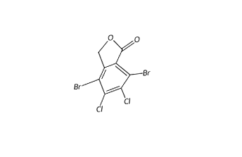 O=C1OCc2c(Br)c(Cl)c(Cl)c(Br)c21